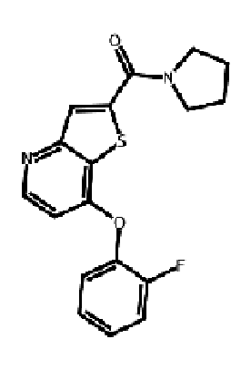 O=C(c1cc2nccc(Oc3ccccc3F)c2s1)N1CCCC1